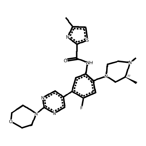 Cc1csc(C(=O)Nc2cc(-c3cnc(N4CCOCC4)nc3)c(F)cc2N2CCN(C)[C@@H](C)C2)n1